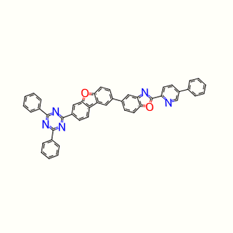 c1ccc(-c2ccc(-c3nc4cc(-c5ccc6oc7cc(-c8nc(-c9ccccc9)nc(-c9ccccc9)n8)ccc7c6c5)ccc4o3)nc2)cc1